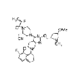 C=C(F)C(=O)N1CCN(c2nc(OC[C@@H]3C[C@@H](OC)CN3C)nc3c2CCN(c2cccc4ccc(F)c(Cl)c24)C3)C[C@@H]1CC#N